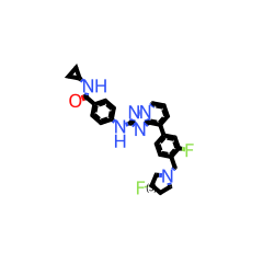 O=C(NC1CC1)c1ccc(Nc2nc3c(-c4ccc(CN5CC[C@H](F)C5)c(F)c4)cccn3n2)cc1